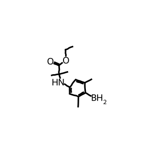 Bc1c(C)cc(NC(C)(C)C(=O)OCC)cc1C